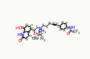 CC(C)(C)[Si](C)(C)OC(CNCCCC#Cc1ccc(NC(=O)C(F)(F)F)cc1)c1ccc(O)c2[nH]c(=O)ccc12